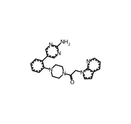 Nc1ncc(-c2ccccc2N2CCN(C(=O)Cn3ccc4cccnc43)CC2)cn1